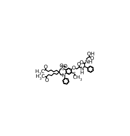 CSc1cc2c(cc1OCC(=O)NC(C(=O)NCC(=O)O)c1ccccc1)S(=O)(=O)CC(CCCCC(C)=O)(CCCCC(C)=O)CN2c1ccccc1